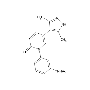 CC(=O)Nc1cccc(-n2cc(-c3c(C)n[nH]c3C)ccc2=O)c1